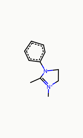 CC1=[N+](C)CCN1c1ccccc1